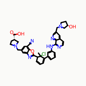 CC1(Cl)C(c2cccc(Nc3nccc4cc(CN5CC[C@H](O)C5)cnc34)c2)=CC=CC1c1nc2cc(CN3CC[C@H](C(=O)O)C3)cc(C#N)c2o1